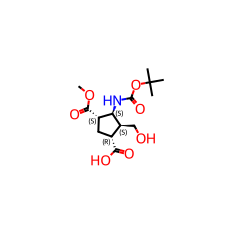 COC(=O)[C@H]1C[C@@H](C(=O)O)[C@H](CO)[C@@H]1NC(=O)OC(C)(C)C